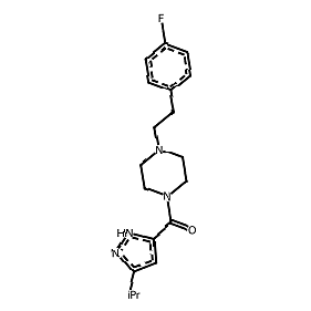 CC(C)c1cc(C(=O)N2CCN(CCc3ccc(F)cc3)CC2)[nH]n1